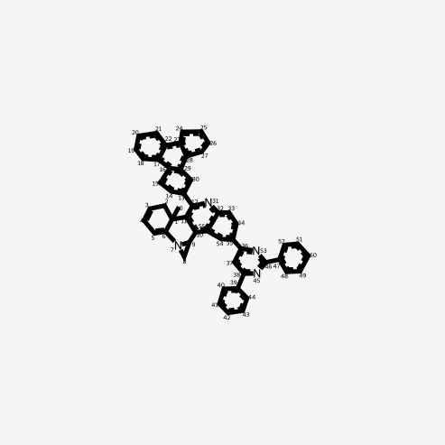 CC12CC=CC=C1N1CC1c1c2c(-c2ccc3c4ccccc4c4ccccc4c3c2)nc2ccc(-c3cc(-c4ccccc4)nc(-c4ccccc4)n3)cc12